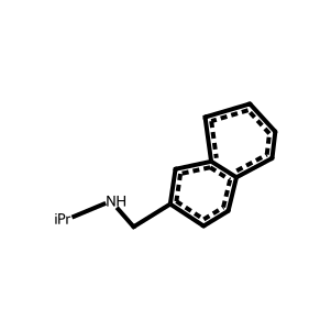 CC(C)NCc1ccc2ccccc2c1